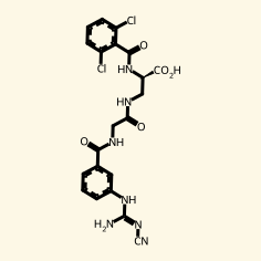 N#C/N=C(\N)Nc1cccc(C(=O)NCC(=O)NC[C@@H](NC(=O)c2c(Cl)cccc2Cl)C(=O)O)c1